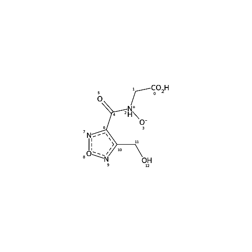 O=C(O)C[NH+]([O-])C(=O)c1nonc1CO